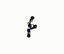 Clc1ccccc1CC/C=C(\c1ccc(OCCOCc2ccccc2)cc1)c1cccc(OCc2ccccc2)c1